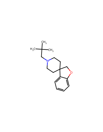 CC(C)(C)CN1CCC2(CC1)COc1ccccc12